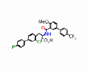 COc1ccc(-c2ccc(C(F)(F)F)cc2)cc1C(=O)N[C@H](Cc1ccc(-c2ccc(F)cc2)cc1Cl)C(=O)O